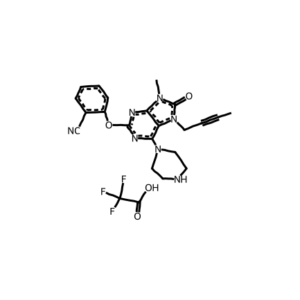 CC#CCn1c(=O)n(C)c2nc(Oc3ccccc3C#N)nc(N3CCNCC3)c21.O=C(O)C(F)(F)F